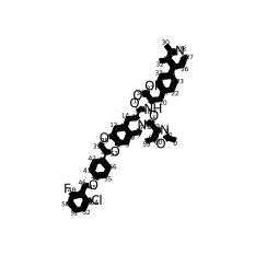 Cc1nc(C(=O)N2Cc3cc4c(cc3C[C@H]2C(=O)NC(Cc2ccc(-c3ccnc(C)c3C)cc2)C(=O)O)OC[C@H](c2ccc(OCc3c(F)cccc3Cl)cc2)O4)c(C)o1